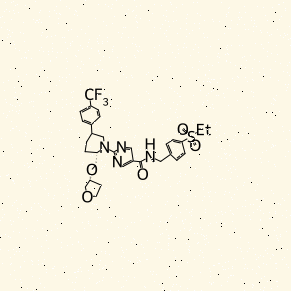 CCS(=O)(=O)c1ccc(CNC(=O)c2cnc(N3CC(c4ccc(C(F)(F)F)cc4)CC[C@H]3CO[C@@H]3CCOC3)nc2)cc1